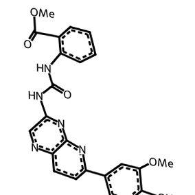 COC(=O)c1ccccc1NC(=O)Nc1cnc2ccc(-c3ccc(O)c(OC)c3)nc2n1